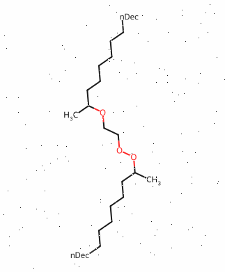 CCCCCCCCCCCCCCCCC(C)OCCOOC(C)CCCCCCCCCCCCCCCC